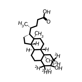 [2H]C1([2H])C[C@@]2(C)C(CC[C@H]3[C@@H]4CC[C@H]([C@H](C)CCC(=O)O)[C@@]4(C)CC[C@@H]32)C([2H])([2H])[C@]1([2H])O